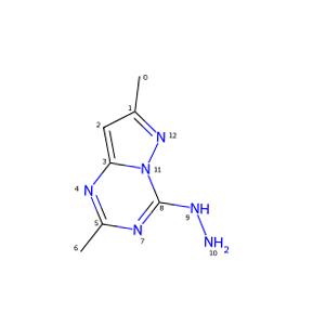 Cc1cc2nc(C)nc(NN)n2n1